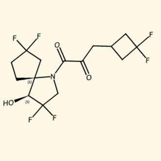 O=C(CC1CC(F)(F)C1)C(=O)N1CC(F)(F)[C@@H](O)[C@@]12CCC(F)(F)C2